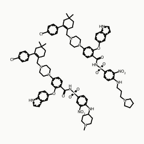 CC1(C)CCC(CN2CCN(c3ccc(C(=O)NS(=O)(=O)c4ccc(NCCCN5CCCC5)c([N+](=O)[O-])c4)c(Oc4ccc5[nH]ccc5c4)c3)CC2)=C(c2ccc(Cl)cc2)C1.CN1CCC(Nc2ccc(S(=O)(=O)NC(=O)c3ccc(N4CCN(CC5=C(c6ccc(Cl)cc6)CC(C)(C)CC5)CC4)cc3Oc3ccc4[nH]ccc4c3)cc2[N+](=O)[O-])CC1